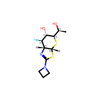 C[C@H](O)[C@H]1S[C@@H]2SC(N3CCC3)=N[C@@H]2[C@@H](F)[C@@H]1O